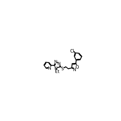 CCn1c(SCCc2cc(-c3cccc(Cl)c3)on2)nnc1-c1ccccn1